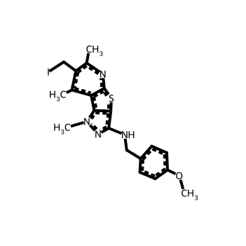 COc1ccc(CNc2nn(C)c3c2sc2nc(C)c(CI)c(C)c23)cc1